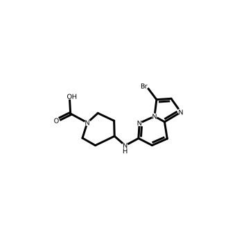 O=C(O)N1CCC(Nc2ccc3ncc(Br)n3n2)CC1